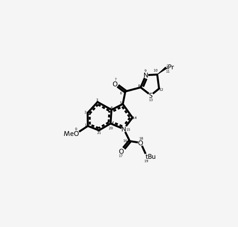 COc1ccc2c(C(=O)C3=N[C@@H](C(C)C)CS3)cn(C(=O)OC(C)(C)C)c2c1